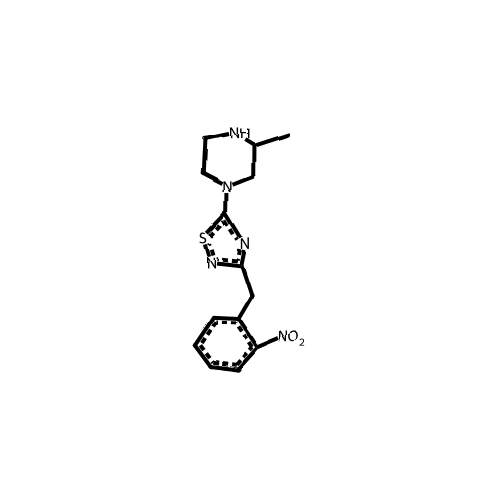 CC1CN(c2nc(Cc3ccccc3[N+](=O)[O-])ns2)CCN1